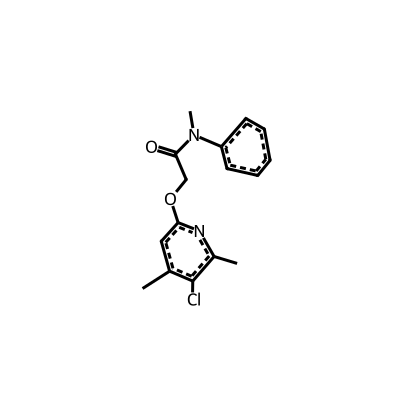 Cc1cc(OCC(=O)N(C)c2ccccc2)nc(C)c1Cl